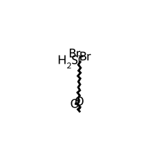 CC=CC(=O)OCCCCCCCCCCCCCC[SiH2]C(Br)Br